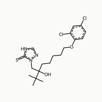 CC(C)(C)C(O)(CCCCCOc1ccc(Cl)cc1Cl)Cn1nc[nH]c1=S